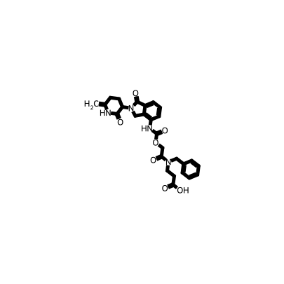 C=C1CCC(N2Cc3c(NC(=O)OCC(=O)N(CCC(=O)O)Cc4ccccc4)cccc3C2=O)C(=O)N1